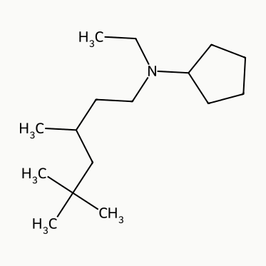 CCN(CCC(C)CC(C)(C)C)C1CCCC1